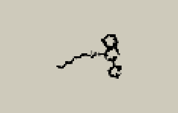 CCCCCCCCNc1nc(-c2cccnc2)nc2ccccc12